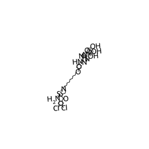 Nc1sc2c(c1C(=O)c1ccc(Cl)c(Cl)c1)CCN(CCCCCCCCCOc1ccc(Nc3ncnc4c3ncn4[C@@H]3O[C@H](CO)[C@@H](O)[C@H]3O)cc1)C2